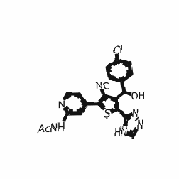 [C-]#[N+]c1c(-c2ccnc(NC(C)=O)c2)sc(-c2nnc[nH]2)c1C(O)c1ccc(Cl)cc1